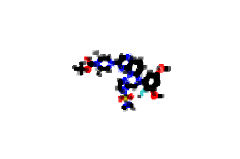 COc1cc(OC)c(F)c(N(Cc2nccn2S(=O)(=O)N(C)C)c2ccc3ncc(N4C[C@@H](C)N(C(=O)OC(C)(C)C)[C@@H](C)C4)nc3n2)c1